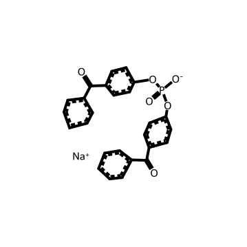 O=C(c1ccccc1)c1ccc(OP(=O)([O-])Oc2ccc(C(=O)c3ccccc3)cc2)cc1.[Na+]